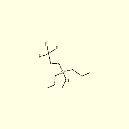 CCC[Si](CCC)(CCC(F)(F)F)OC